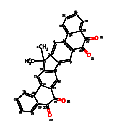 CC1(C)c2cc3c(cc2-c2cc4c(cc21)-c1ccccc1C(=O)C4=O)C(=O)C(=O)c1ccccc1-3